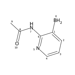 Bc1cccnc1NC(C)=O